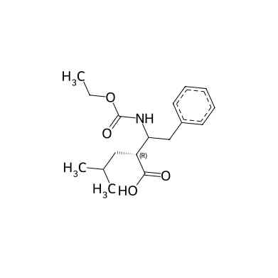 CCOC(=O)NC(Cc1ccccc1)[C@@H](CC(C)C)C(=O)O